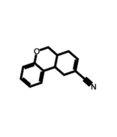 N#CC1=CCC2COc3ccccc3C2C1